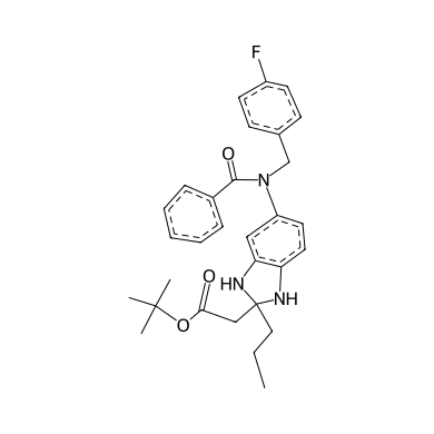 CCCC1(CC(=O)OC(C)(C)C)Nc2ccc(N(Cc3ccc(F)cc3)C(=O)c3ccccc3)cc2N1